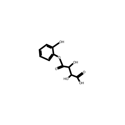 O=C(O)C(O)C(O)C(=O)Oc1ccccc1O